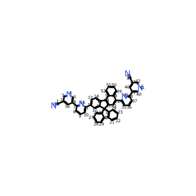 N#Cc1cncc(-c2cccc(-c3ccc4c(c3)C(c3ccccc3)(c3ccccc3)c3cc(-c5cccc(-c6cncc(C#N)c6)n5)c5ccccc5c3-4)n2)c1